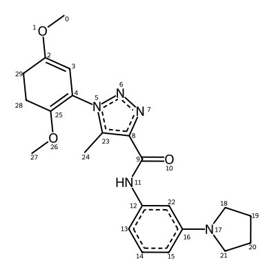 COC1=CC(n2nnc(C(=O)Nc3cccc(N4CCCC4)c3)c2C)=C(OC)CC1